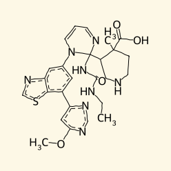 CCNC(=O)NC1(C2CNCCC2(C)C(=O)O)N=CC=CN1c1cc(-c2cc(OC)ncn2)c2scnc2c1